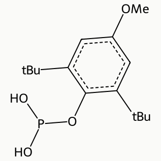 COc1cc(C(C)(C)C)c(OP(O)O)c(C(C)(C)C)c1